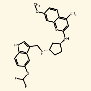 COc1ccc2c(C)cc(N[C@H]3CC[C@H](NCc4c[nH]c5ccc(OC(F)F)cc45)C3)nc2c1